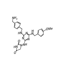 COc1ccc(CNc2nc(NCc3ccc(CN)cc3)nc(NN3CC(=O)NC3=O)n2)cc1